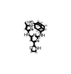 Cc1cc(Nc2cc(C3NCCO3)nc(NC3C4CC5CC3CC(O)(C5)C4)n2)n[nH]1